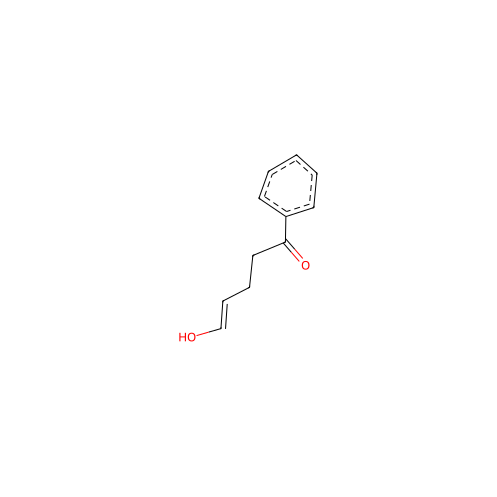 O=C(CCC=CO)c1ccccc1